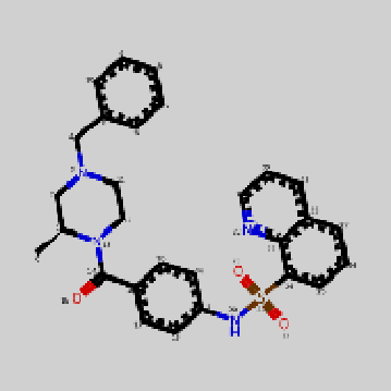 C[C@H]1CN(Cc2ccccc2)CCN1C(=O)c1ccc(NS(=O)(=O)c2cccc3cccnc23)cc1